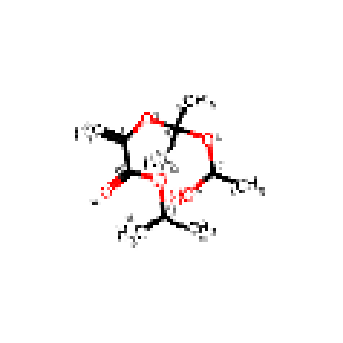 C=C(OC(C)(C)OC(C)O)C(=O)OC(C)C